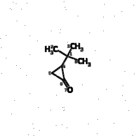 CC(C)(C)C1CC1=O